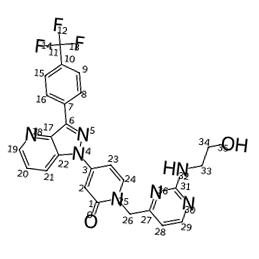 O=c1cc(-n2nc(-c3ccc(C(F)(F)F)cc3)c3ncccc32)ccn1Cc1ccnc(NCCO)n1